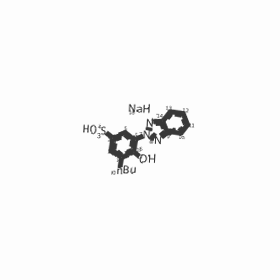 CCCCc1cc(S(=O)(=O)O)cc(-n2nc3ccccc3n2)c1O.[NaH]